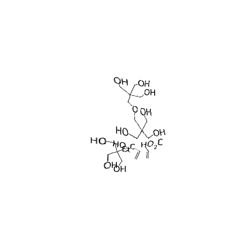 C=CC(=O)O.C=CC(=O)O.CCC(CO)(CO)CO.OCC(CO)(CO)COCC(CO)(CO)CO